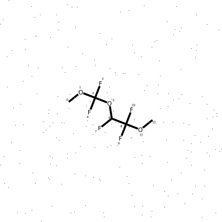 COC(F)(F)OC(F)C(F)(F)OC